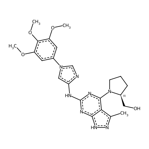 COc1cc(-n2cnc(Nc3nc(N4CCC[C@H]4CO)c4c(C)n[nH]c4n3)c2)cc(OC)c1OC